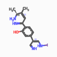 C/C(=C/C(=N)c1ccc(/C(C=N)=C/NI)cc1O)[C@@H](C)N